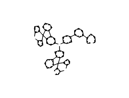 c1ccc(-c2cccc(-c3ccc(N(c4ccc5c(c4)-c4ccccc4C54c5ccccc5Oc5ccccc54)c4ccc5c(c4)-c4ccccc4C54c5ccccc5Sc5ccccc54)cc3)c2)cc1